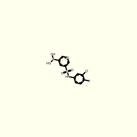 O=S(=O)(Nc1ccc(F)c(Cl)c1)c1cncc(B(O)O)c1